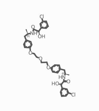 C[C@H](Cc1ccc(OCCOCCOc2ccc(C[C@@H](C)NC(=O)[C@H](O)c3cccc(Cl)c3)cc2)cc1)NC(=O)[C@H](O)c1cccc(Cl)c1